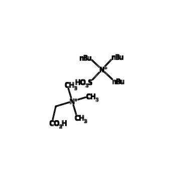 CCCC[N+](CCCC)(CCCC)S(=O)(=O)O.C[N+](C)(C)CC(=O)O